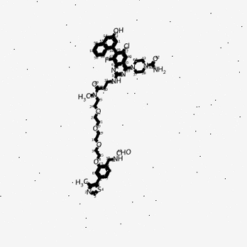 Cc1ncsc1-c1ccc(CNC=O)c(OCCOCCOCCOCCN(C)C(=O)CCNc2nc(N3CCN(C(N)=O)CC3)c3cc(Cl)c(-c4cc(O)cc5ccccc45)c(F)c3n2)c1